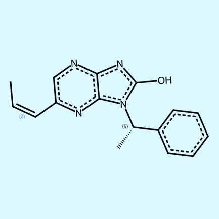 C/C=C\c1cnc2nc(O)n([C@@H](C)c3ccccc3)c2n1